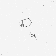 C[C@H]1C[CH]CN1